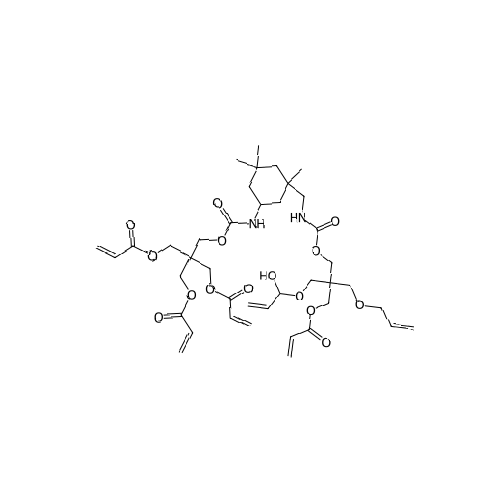 C=CCOCC(COC(=O)C=C)(COC(=O)NCC1(C)CC(NC(=O)OCC(COC(=O)C=C)(COC(=O)C=C)COC(=O)C=C)CC(C)(C)C1)COC(O)C=C